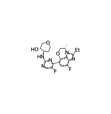 CCc1nc2c(F)cc(-c3nc(N[C@@H]4CCOC[C@H]4O)ncc3F)c3c2n1[C@@H](C)CO3